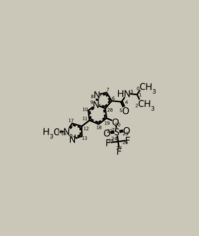 CC(C)NC(=O)c1cnn2cc(-c3cnn(C)c3)cc(OS(=O)(=O)C(F)(F)F)c12